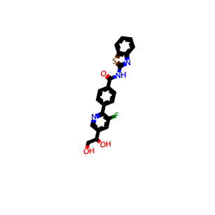 O=C(Nc1nc2ccccc2s1)c1ccc(-c2ncc(C(O)CO)cc2F)cc1